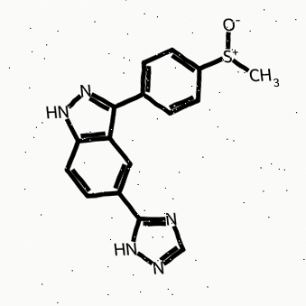 C[S+]([O-])c1ccc(-c2n[nH]c3ccc(-c4ncn[nH]4)cc23)cc1